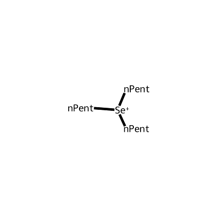 CCCCC[Se+](CCCCC)CCCCC